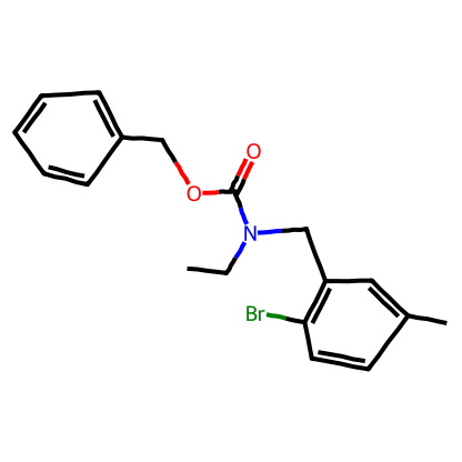 CCN(Cc1cc(C)ccc1Br)C(=O)OCc1ccccc1